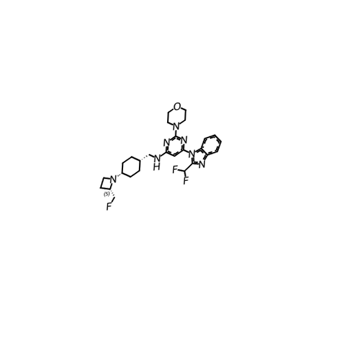 FC[C@@H]1CCN1[C@H]1CC[C@@H](CNc2cc(-n3c(C(F)F)nc4ccccc43)nc(N3CCOCC3)n2)CC1